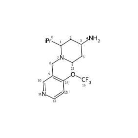 CC(C)C1CC(N)CCN1Cc1cnccc1OC(F)(F)F